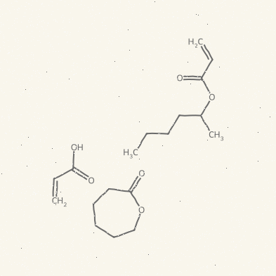 C=CC(=O)O.C=CC(=O)OC(C)CCCC.O=C1CCCCCO1